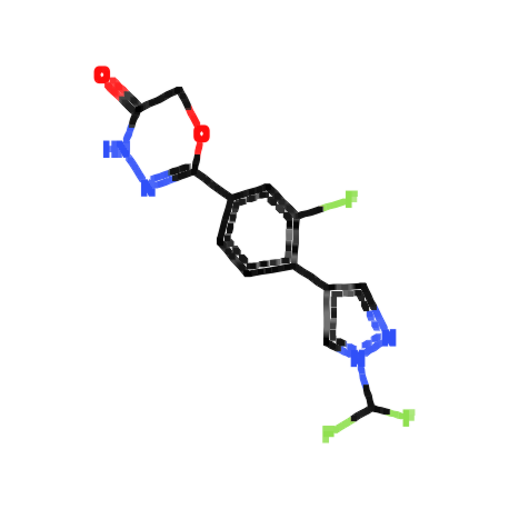 O=C1COC(c2ccc(-c3cnn(C(F)F)c3)c(F)c2)=NN1